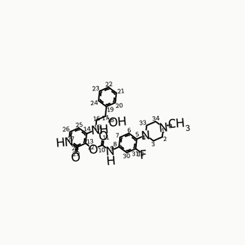 CN1CCN(c2ccc(NC(=O)Oc3c(NC[C@@H](O)c4ccccc4)cc[nH]c3=O)cc2F)CC1